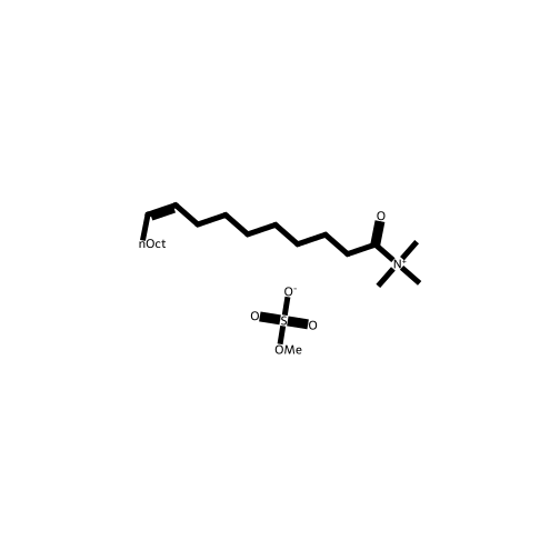 CCCCCCCC/C=C\CCCCCCCC(=O)[N+](C)(C)C.COS(=O)(=O)[O-]